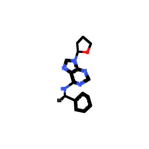 CC[C@@H](Nc1ncnc2c1ncn2C1CCCO1)c1ccccc1